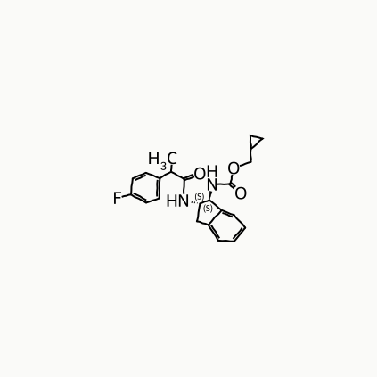 CC(C(=O)N[C@H]1Cc2ccccc2[C@@H]1NC(=O)OCC1CC1)c1ccc(F)cc1